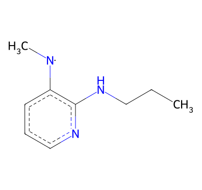 CCCNc1ncccc1[N]C